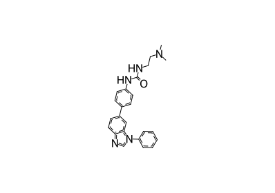 CN(C)CCNC(=O)Nc1ccc(-c2ccc3ncn(-c4ccccc4)c3c2)cc1